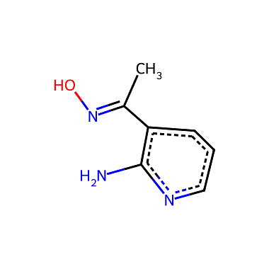 CC(=NO)c1cccnc1N